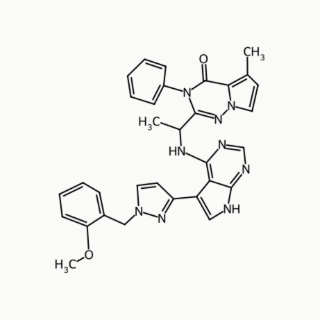 COc1ccccc1Cn1ccc(-c2c[nH]c3ncnc(NC(C)c4nn5ccc(C)c5c(=O)n4-c4ccccc4)c23)n1